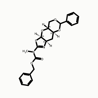 CN(C(=O)OCc1ccccc1)C1=N[C@@H]2C[C@@H]3OC(c4ccccc4)OC[C@H]3O[C@@H]2S1